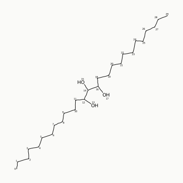 CCCCCCCCCCCCC(O)C(O)C(O)CCCCCCCCCCCC